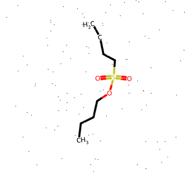 [CH2]CCCS(=O)(=O)OCCCC